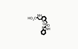 NC(Cc1cccc(CS(=O)(=O)c2nc3ccccc3[nH]2)n1)C(=O)O